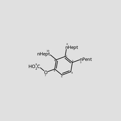 CCCCCCCc1c(CCCCC)ccc(OC(=O)O)c1CCCCCCC